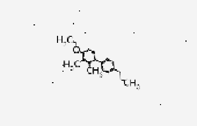 CCCc1ccc(-c2ccc(OCC)c(C)c2C)cc1